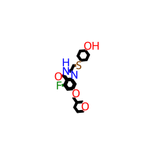 O=c1[nH]c(CSC2CCC(O)CC2)nc2cc(OCC3CCCOC3)cc(F)c12